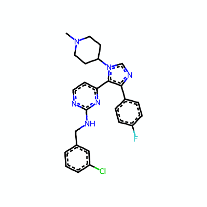 CN1CCC(n2cnc(-c3ccc(F)cc3)c2-c2ccnc(NCc3cccc(Cl)c3)n2)CC1